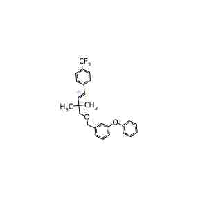 CC(C)(/C=C/c1ccc(C(F)(F)F)cc1)COCc1cccc(Oc2ccccc2)c1